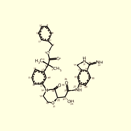 CC(C)(C(=O)OCc1ccccc1)c1cccc(N2CCO[C@H]([C@@H](O)C(=O)Nc3ccc4c(c3)CNC4=N)C2=O)c1